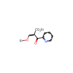 CCO/C=C(/C(=O)OCC)C(=O)c1ccccn1